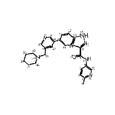 Cc1ccc(NC(=O)c2n[nH]c3ccc(-c4cncc(CN5CCCCC5)c4)cc23)cn1